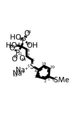 CSc1ccc(SCCCC(O)(P(=O)([O-])[O-])P(=O)(O)O)cc1.[Na+].[Na+]